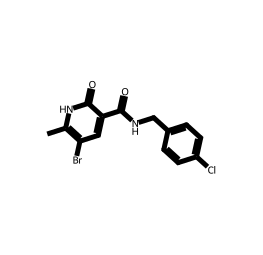 Cc1[nH]c(=O)c(C(=O)NCc2ccc(Cl)cc2)cc1Br